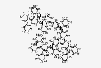 c1ccc(-c2ccccc2-c2ccc(-n3c4ccccc4c4c(-c5ccc6c(c5)c5ccccc5n6-c5ccc(-c6cc7c8ccccc8n(-c8ccccc8)c7cc6-c6cccc7c6c6ccccc6n7-c6ccc(-c7ccccc7-c7ccccc7)c7c6oc6ccccc67)cc5)cccc43)c3oc4ccccc4c23)cc1